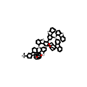 C[Si](C)(C)c1ccc2c(c1)-c1ccc(N(c3cccc4oc5ccccc5c34)c3cccc4sc5c(-c6cc(N(c7ccc8c(c7)C7(c9ccccc9-8)C8CC9CC(C8)CC7C9)c7cccc8sc9ccccc9c78)c7c(c6)sc6ccccc67)cccc5c34)cc1C21C2CC3CC(C2)CC1C3